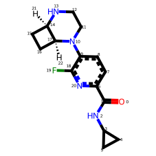 O=C(NC1CC1)c1ccc(N2CCN[C@@H]3CC[C@@H]32)c(F)n1